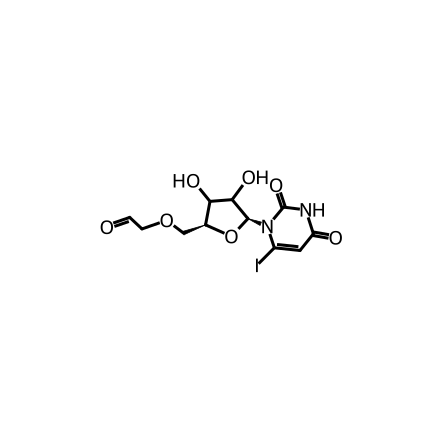 O=CCOC[C@@H]1O[C@H](n2c(I)cc(=O)[nH]c2=O)C(O)C1O